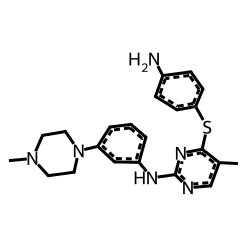 Cc1cnc(Nc2cccc(N3CCN(C)CC3)c2)nc1Sc1ccc(N)cc1